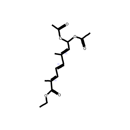 CCOC(=O)/C(C)=C/C=C/C(C)=C/C(OC(C)=O)OC(C)=O